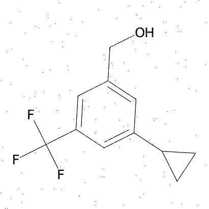 OCc1cc(C2CC2)cc(C(F)(F)F)c1